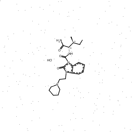 CC[C@H](C)[C@H](NC(=O)n1c(=O)n(CCN2CCCCC2)c2ccccc21)C(N)=O.Cl